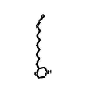 O=C=NCCCCCCCCC1CNCCO1